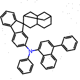 c1ccc(-c2ccc(N(c3ccccc3)c3ccc4c(c3)C3(CC5CCC6CC5CC3C6)c3ccccc3-4)c3ccccc23)cc1